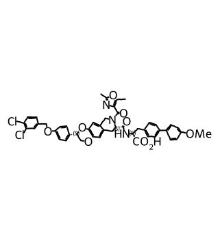 COc1ccc(-c2ccc(C[C@H](NC(=O)[C@@H]3Cc4cc5c(cc4CN3C(=O)c3nc(C)oc3C)O[C@@H](c3ccc(OCc4ccc(Cl)c(Cl)c4)cc3)CO5)C(=O)O)cc2)cc1